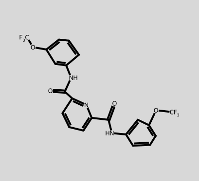 O=C(Nc1cccc(OC(F)(F)F)c1)c1cccc(C(=O)Nc2cccc(OC(F)(F)F)c2)n1